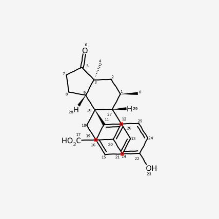 C[C@@H]1C[C@]2(C)C(=O)CC[C@H]2[C@@]2(c3ccccc3C(=O)O)CCc3cc(O)ccc3[C@@H]12